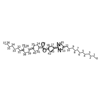 CCCCCCCCCCCCc1cnc(-c2ccc(OC(=O)[C@H]3CC[C@H]([C@H]4CC[C@H](CCCCCCC)CC4)CC3)cc2)nc1